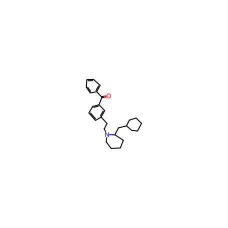 O=C(c1ccccc1)c1cccc(CCN2CCCCC2CC2CCCCC2)c1